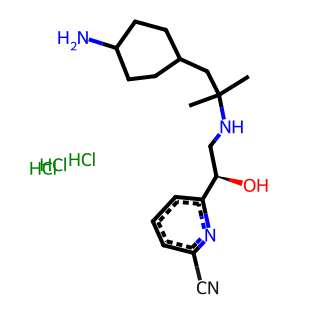 CC(C)(CC1CCC(N)CC1)NC[C@@H](O)c1cccc(C#N)n1.Cl.Cl.Cl